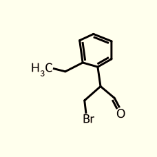 CCc1ccccc1C(C=O)CBr